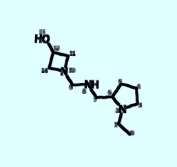 CCN1CCCC1CNCN1CC(O)C1